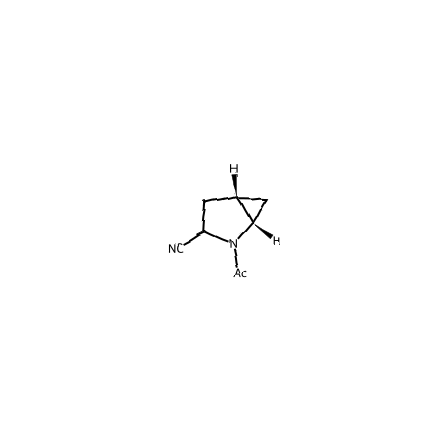 CC(=O)N1C(C#N)C[C@@H]2C[C@@H]21